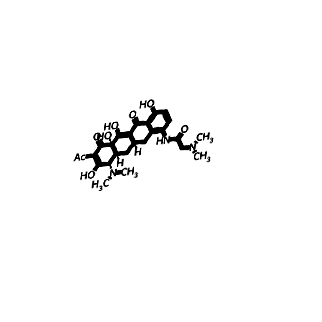 CC(=O)C1=C(O)[C@@H](N(C)C)[C@@H]2C[C@@H]3Cc4c(NC(=O)CN(C)C)ccc(O)c4C(=O)C3=C(O)[C@]2(O)C1=O